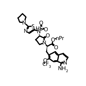 CCCOC(=O)[C@@H](Cc1cc2ccnc(N)c2cc1OC(F)(F)F)N1CC[C@H](N(c2cnc(N3CCCC3)s2)[SH](=O)=O)C1=O